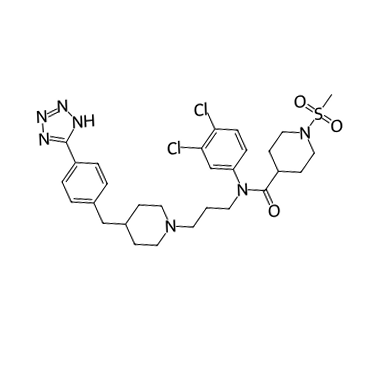 CS(=O)(=O)N1CCC(C(=O)N(CCCN2CCC(Cc3ccc(-c4nnn[nH]4)cc3)CC2)c2ccc(Cl)c(Cl)c2)CC1